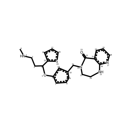 CNCCC(Oc1cccc(CN2CCNc3ncccc3C2=O)c1)c1cccs1